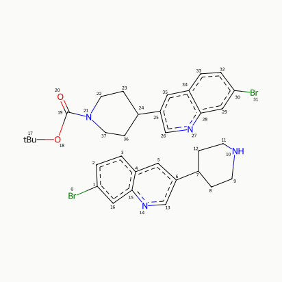 Brc1ccc2cc(C3CCNCC3)cnc2c1.CC(C)(C)OC(=O)N1CCC(c2cnc3cc(Br)ccc3c2)CC1